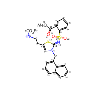 CCOC(=O)NCCc1cn(Cc2cccc3ccccc23)c(=NS(=O)(=O)c2ccccc2C(=O)OC)s1